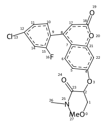 COCC(Oc1ccc2c(-c3ccc(Cl)cc3F)cc(=O)oc2c1)C(=O)N(C)C